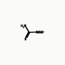 CSC(N)=S.[Cr]